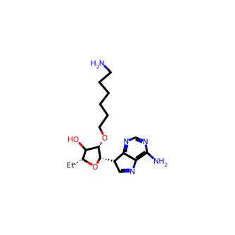 CC[C@H]1O[C@@H](C2C=Nc3c(N)ncnc32)[C@@H](OCCCCCCN)C1O